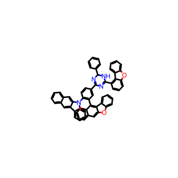 c1ccc(C2N=C(c3ccc(-n4c5ccccc5c5cc6ccccc6cc54)c(-c4c5ccccc5cc5oc6ccccc6c45)c3)N=C(c3cccc4oc5ccccc5c34)N2)cc1